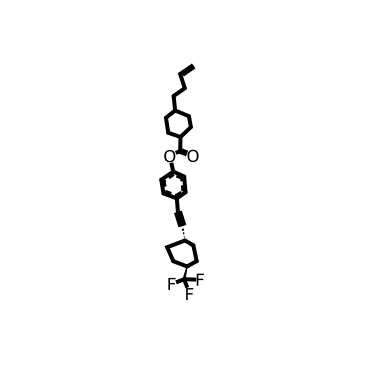 C=CCCC1CCC(C(=O)Oc2ccc(C#C[C@H]3CC[C@H](C(F)(F)F)CC3)cc2)CC1